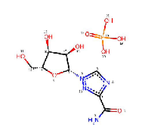 NC(=O)c1ncn([C@@H]2O[C@H](CO)[C@@H](O)[C@H]2O)n1.O=P(O)(O)O